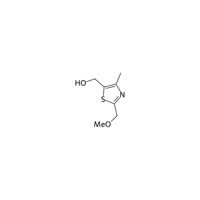 COCc1nc(C)c(CO)s1